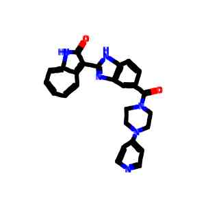 O=C(c1ccc2[nH]c(-c3c4cccccc-4[nH]c3=O)nc2c1)N1CCN(c2ccncc2)CC1